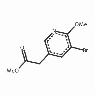 COC(=O)Cc1cnc(OC)c(Br)c1